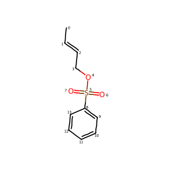 CC=CCOS(=O)(=O)c1ccccc1